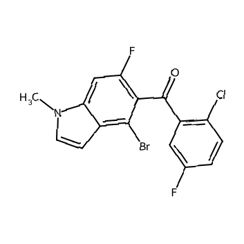 Cn1ccc2c(Br)c(C(=O)c3cc(F)ccc3Cl)c(F)cc21